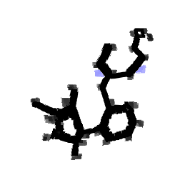 C/C=C(\C=C/CC(F)(F)F)Cc1ncccc1-c1c(C)nn(C)c1C